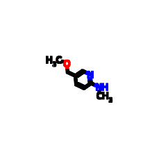 CNc1ccc(COC)cn1